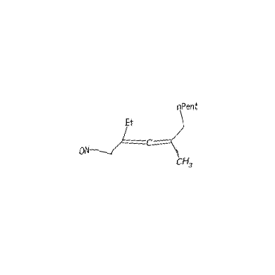 CCCCCCC(C)=C=C(CC)CN=O